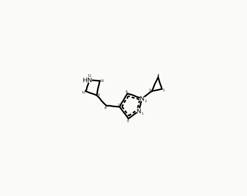 c1nn(C2CC2)cc1CC1CNC1